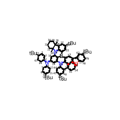 CC(C)(C)c1ccc(N(c2ccc(C(C)(C)C)cc2)c2cc3c4c(c2)N2c5c(cc(C(C)(C)C)cc5C5(C)CCCCC25C)B4c2cc4c(cc2N3c2ccc(C(C)(C)C)cc2-c2ccccc2)oc2ccc(C(C)(C)C)cc24)cc1